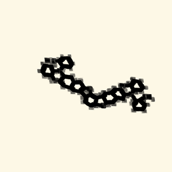 Cc1ccccc1N(c1ccc2cc3c(cc2c1)oc1c3ccc2oc3cc4cc(N(c5ccccc5C)c5ccccc5C(C)C)ccc4cc3c21)c1ccccc1C(C)C